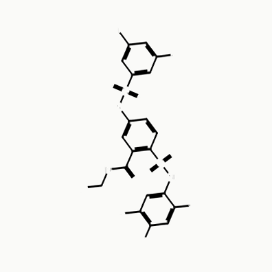 CCNC(=O)c1cc(NS(=O)(=O)c2cc(Cl)cc(Cl)c2)ccc1S(=O)(=O)Nc1cc(Br)c(F)cc1C